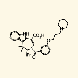 CC(C)C1N(C(=O)c2cccc(OCCCN3CCCCC3)c2)C=C(C(=O)O)c2[nH]c3ccccc3c2C1(C)C